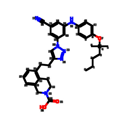 CCCC[Si](C)(C)Oc1ccc(Nc2cc(C#N)cc(-n3cc(CCc4cccc5c4CCN(C(=O)O)C5)nn3)c2)cc1